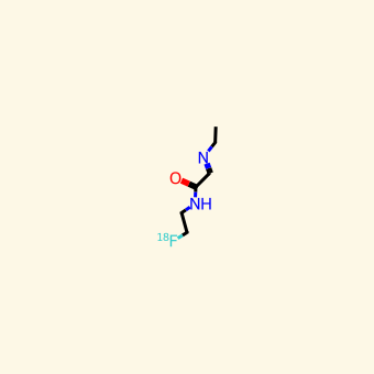 CCN=CC(=O)NCC[18F]